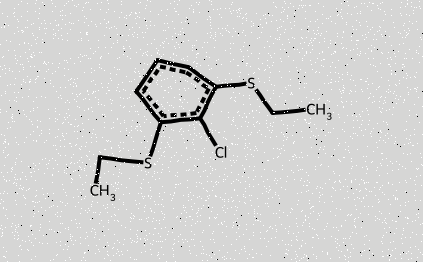 CCSc1cccc(SCC)c1Cl